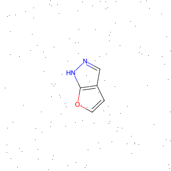 c1cc2cn[nH]c2o1